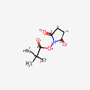 CCCCC(C)(CC)C(=O)ON1C(=O)CCC1=O